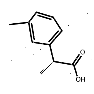 Cc1cccc([C@@H](C)C(=O)O)c1